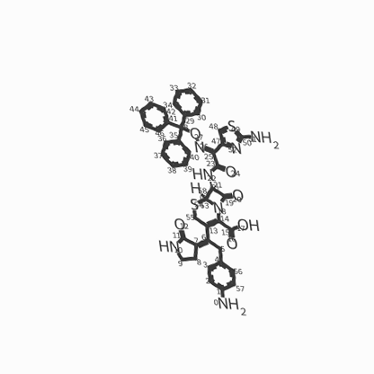 Nc1ccc(CC(=C2CCNC2=O)C2=C(C(=O)O)N3C(=O)[C@@H](NC(=O)C(=NOC(c4ccccc4)(c4ccccc4)c4ccccc4)c4csc(N)n4)[C@H]3SC2)cc1